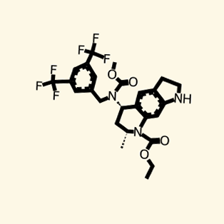 CCOC(=O)N1c2cc3c(cc2[C@@H](N(Cc2cc(C(F)(F)F)cc(C(F)(F)F)c2)C(=O)OC)C[C@H]1C)CCN3